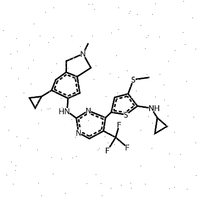 CSc1cc(-c2nc(Nc3cc4c(cc3C3CC3)CN(C)C4)ncc2C(F)(F)F)sc1NC1CC1